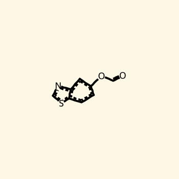 O=COc1ccc2scnc2c1